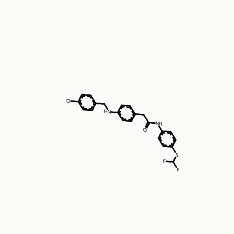 O=C(Cc1ccc(NCc2ccc(Cl)cc2)cc1)Nc1ccc(SC(F)F)cc1